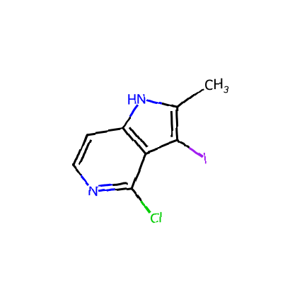 Cc1[nH]c2ccnc(Cl)c2c1I